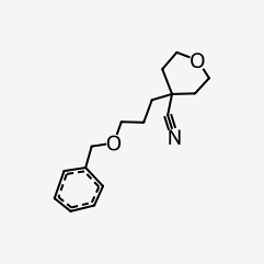 N#CC1(CCCOCc2ccccc2)CCOCC1